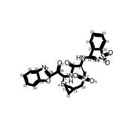 CC[C@H](NC(=O)[C@H](CS(=O)(=O)CC1CC1)NC1=NS(=O)(=O)c2ccccc21)C(=O)c1nc2ccccc2o1